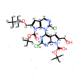 CC(C)(C)OC(=O)n1c(CO)cc2c(-[n+]3c(Cl)ncc4cc(CO[Si](C)(C)C(C)(C)C)n(C(=O)OC(C)(C)C)c43)nc(Cl)nc21